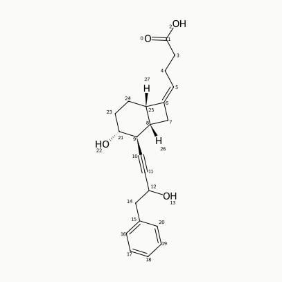 O=C(O)CC/C=C1/C[C@@H]2[C@@H](C#CC(O)Cc3ccccc3)[C@H](O)CC[C@H]12